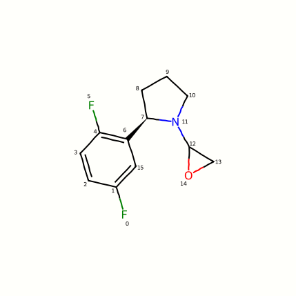 Fc1ccc(F)c([C@H]2CCCN2C2CO2)c1